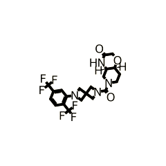 O=C1CO[C@H]2CCN(C(=O)N3CC4(C3)CN(c3cc(C(F)(F)F)ccc3C(F)(F)F)C4)C[C@H]2N1